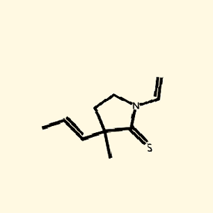 C=CN1CCC(C)(C=CC)C1=S